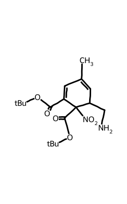 CC1=CC(CN)C(C(=O)OC(C)(C)C)([N+](=O)[O-])C(C(=O)OC(C)(C)C)=C1